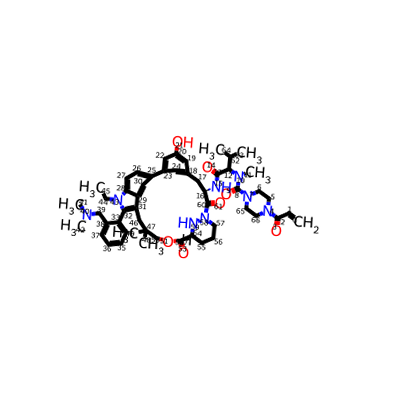 C=CC(=O)N1CCN(C(=O)N(C)C(C(=O)N[C@H]2Cc3cc(O)cc(c3)-c3ccc4c(c3)c(c(-c3ccccc3CN(C)C)n4CC)CC(C)(C)COC(=O)[C@@H]3CCCN(N3)C2=O)C(C)C)CC1